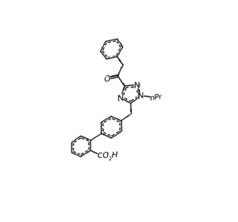 CCCn1nc(C(=O)Cc2ccccc2)nc1Cc1ccc(-c2ccccc2C(=O)O)cc1